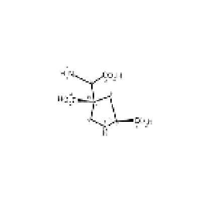 NC(C(=O)O)[C@@]1(C(=O)O)CN[C@H](C(=O)O)C1